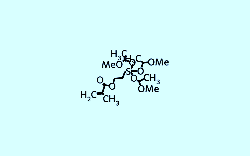 C=C(C)C(=O)OCCC[Si](OC(C)OC)(OC(C)OC)OC(C)OC